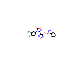 NC(COc1nonc1-c1noc(=O)n1-c1ccc(F)c(Br)c1)c1ccccc1